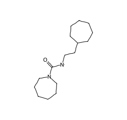 O=C([N]CCC1CCCCCC1)N1CCCCCC1